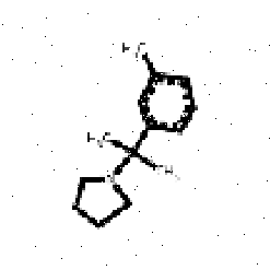 Cc1cccc(C(C)(C)N2CCCC2)c1